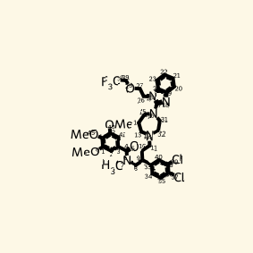 COc1cc(C(=O)N(C)CC(CCN2CCCN(c3nc4ccccc4n3CCOCC(F)(F)F)CC2)c2ccc(Cl)c(Cl)c2)cc(OC)c1OC